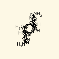 CSP1(=O)OCC2O[C@@H](n3cnc4c(N)ncnc43)[C@H](O)[C@@H]2OP(=O)(O)OC[C@H]2O[C@@H](n3cnc4c(N)ncnc43)[C@H](O)[C@@H]2O1